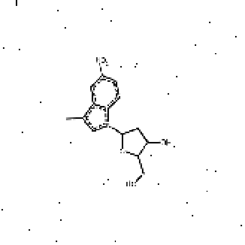 Cc1cn(C2CC(O)C(CO)O2)c2ccc([N+](=O)[O-])cc12